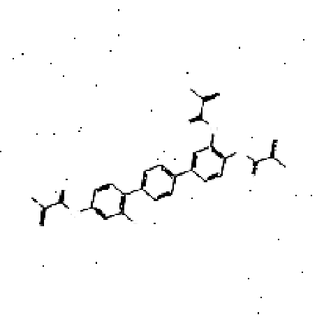 C=C(C)C(=O)Oc1ccc(-c2ccc(-c3ccc(OC(=O)C(=C)C)c(OC(=O)C(=C)C)c3)cc2)c(F)c1